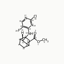 COC(=O)C1C2CCC(CC2)[C@@H]1Nc1nc(Cl)ncc1F